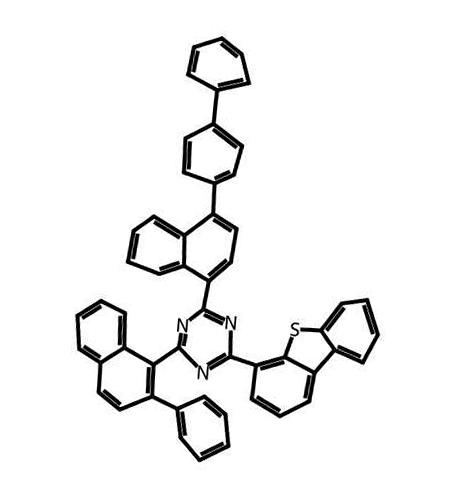 c1ccc(-c2ccc(-c3ccc(-c4nc(-c5c(-c6ccccc6)ccc6ccccc56)nc(-c5cccc6c5sc5ccccc56)n4)c4ccccc34)cc2)cc1